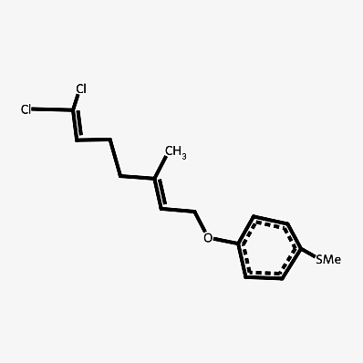 CSc1ccc(OC/C=C(\C)CCC=C(Cl)Cl)cc1